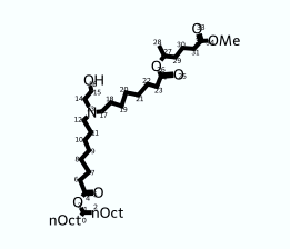 CCCCCCCCC(CCCCCCCC)OC(=O)CCCCCCCN(CCO)CCCCCCCC(=O)OC(C)CCCC(=O)OC